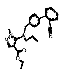 CCCN(Cc1ccc(-c2ccccc2C#N)cc1)c1c(C(=O)OCC)cnn1C